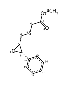 COC(=O)CSC[C@H]1O[C@H]1c1ccccc1